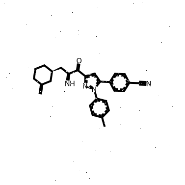 C=C1CCC[C@@H](CC(=N)C(=O)c2cc(-c3ccc(C#N)cc3)n(-c3ccc(C)cc3)n2)C1